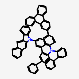 c1ccc(-c2ccc(N(c3ccc(-c4ccc5c6ccccc6c6ccccc6c5c4)cc3)c3ccccc3-c3ccccc3)c(-c3cccc(-n4c5ccccc5c5cc6ccccc6cc54)c3)c2)cc1